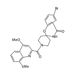 COc1cc(C(=O)N2CCC3(CC2)NC(=O)c2cc(Br)ccc2O3)nc2c(SC)cccc12